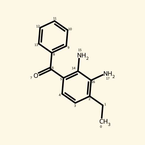 CCc1ccc(C(=O)c2ccccc2)c(N)c1N